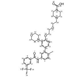 Cc1ncc(NC(=O)c2cccc(C(F)(F)F)c2)cc1-c1cnc(OCCOCCN2CCN(C(=O)O)CC2)c(N2CCOCC2)c1